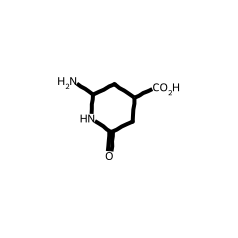 NC1CC(C(=O)O)CC(=O)N1